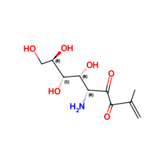 C=C(C)C(=O)C(=O)[C@H](N)[C@@H](O)[C@H](O)[C@H](O)CO